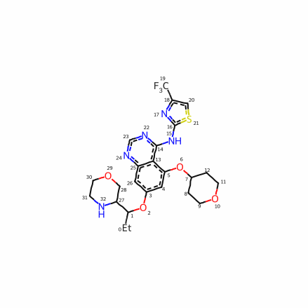 CCC(Oc1cc(OC2CCOCC2)c2c(Nc3nc(C(F)(F)F)cs3)ncnc2c1)C1COCCN1